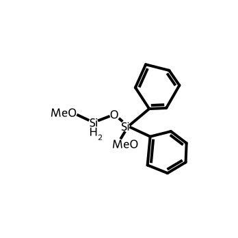 CO[SiH2]O[Si](OC)(c1ccccc1)c1ccccc1